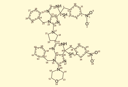 O=[N+]([O-])c1ccc(CC2(S)NC=Nc3c2nc(N2CCCC2)n3Cc2ccccc2)cc1.O=[N+]([O-])c1ccc(CC2(S)NC=Nc3c2nc(N2CCOCC2)n3Cc2ccccc2)cc1